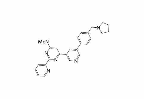 CNc1cc(-c2cncc(-c3ccc(CN4CCCC4)cc3)c2)nc(-c2ccccn2)n1